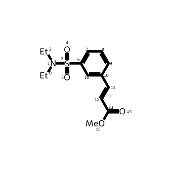 CCN(CC)S(=O)(=O)c1cccc(/C=C/C(=O)OC)c1